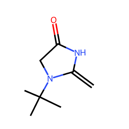 C=C1NC(=O)CN1C(C)(C)C